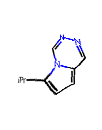 CC(C)c1ccc2cnncn12